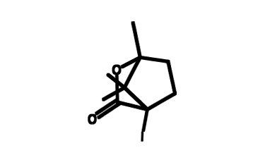 CC12CCC(I)(C(=O)O1)C2(C)C